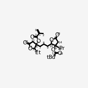 C=C(C)C(=O)OC1(CCCC2OC(=O)CC2(OC(=O)C(C)(C)C)C(C)C)CC(=O)OC1CC